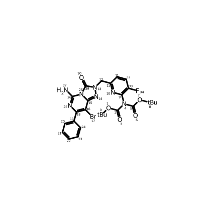 CC(C)(C)OC(=O)N(C(=O)OC(C)(C)C)c1nc(Cn2nc3c(Br)c(-c4ccccc4)nc(N)n3c2=O)ccc1F